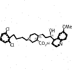 COc1ccc2nccc([C@H](O)CC[C@@H]3CCN(CCCCc4c(Cl)cccc4Cl)C[C@@H]3C(=O)O)c2c1